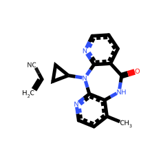 C=CC#N.Cc1ccnc2c1NC(=O)c1cccnc1N2C1CC1